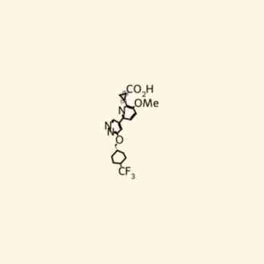 COc1ccc(-c2cnnc(OC[C@H]3CC[C@H](C(F)(F)F)CC3)c2)nc1[C@H]1C[C@@H]1C(=O)O